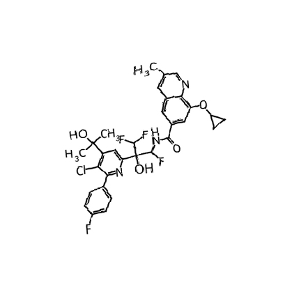 Cc1cnc2c(OC3CC3)cc(C(=O)NC(F)C(O)(c3cc(C(C)(C)O)c(Cl)c(-c4ccc(F)cc4)n3)C(F)F)cc2c1